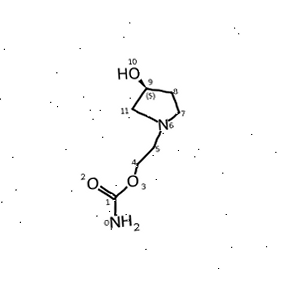 NC(=O)OCCN1CC[C@H](O)C1